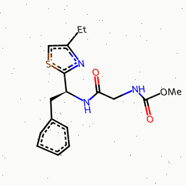 CCc1csc([C@H](Cc2cc[c]cc2)NC(=O)CNC(=O)OC)n1